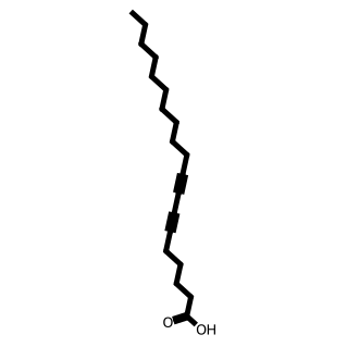 CCCCCCCCCCC#CC#CCCCCC(=O)O